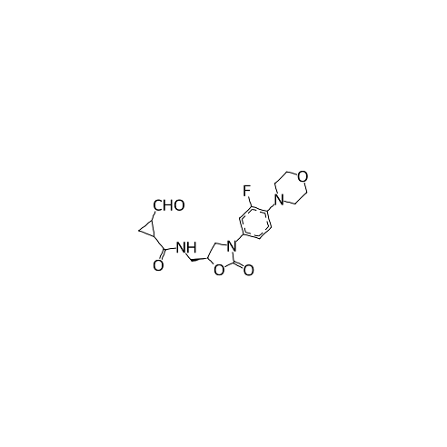 O=CC1CC1C(=O)NC[C@H]1CN(c2ccc(N3CCOCC3)c(F)c2)C(=O)O1